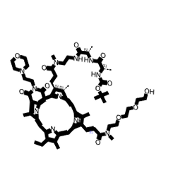 CCC1=C(C)c2cc3[nH]c(cc4nc(c5c6[nH]c(cc1n2)c(C)c6C(=O)N(CCN1CCOCC1)C5=O)[C@@H](CCC(=O)N(C)CCNC(=O)[C@H](C)NC(=O)[C@H](C)NC(=O)OC(C)(C)C)[C@@H]4C)c(C)c3/C=C/C(=O)N(C)CCOCCOCCO